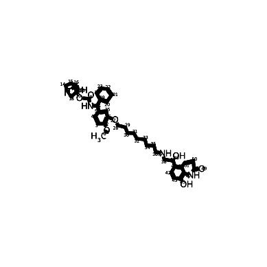 COc1ccc(C(NC(=O)O[C@H]2CN3CCC2CC3)c2ccccc2)cc1OCCCCCCCCCNC[C@H](O)c1ccc(O)c2[nH]c(=O)ccc12